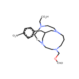 O=COCN1CCCN2CCN(CC(=O)O)CCCN(CC1)CC(Cc1ccc([N+](=O)[O-])cc1)C2